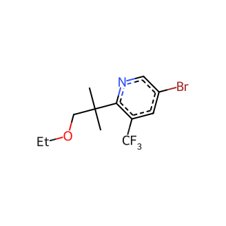 CCOCC(C)(C)c1ncc(Br)cc1C(F)(F)F